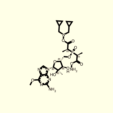 COc1nc(N)nc2c1ncn2[C@@H]1O[C@H](COP(=O)([C@@H](C)C(=O)ON)[C@@H](C)C(=O)ON(CC2CC2)CC2CC2)[C@@H](O)[C@@]1(C)O